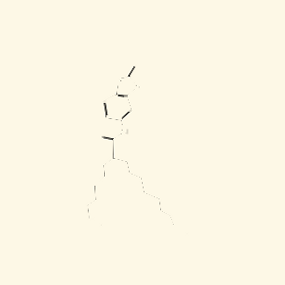 CCCCCCCCC(CCCCCC)C(=O)Nc1ccc2[nH]c(=O)[nH]c2c1